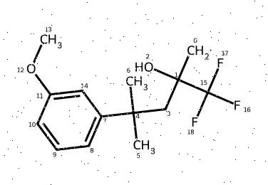 [CH2]C(O)(CC(C)(C)c1cccc(OC)c1)C(F)(F)F